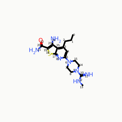 CCCc1cc(N2CCN(C(=N)NC)CC2)nc2sc(C(N)=O)c(N)c12